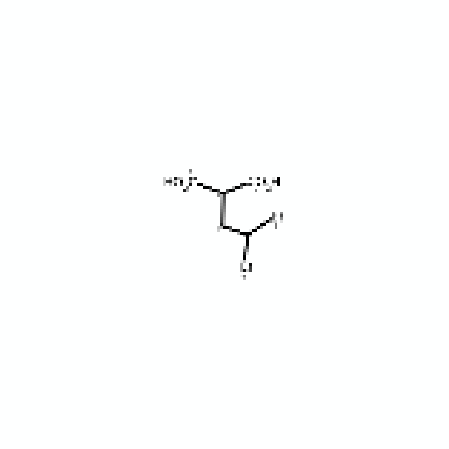 CCC(CC)CC(C(=O)O)C(=O)O